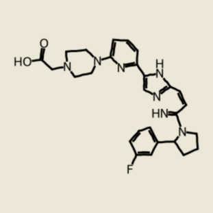 N=C(/C=C\c1ncc(-c2cccc(N3CCN(CC(=O)O)CC3)n2)[nH]1)N1CCCC1c1cccc(F)c1